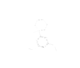 COc1nc(OC)nc([N+]2(C)CCCCC2)n1